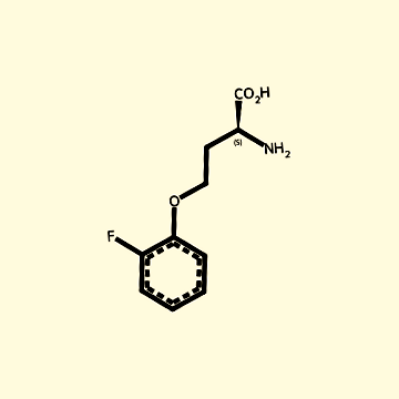 N[C@@H](CCOc1ccccc1F)C(=O)O